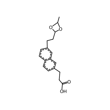 CC1OC(CCc2ccc3ccc(CCC(=O)O)cc3c2)O1